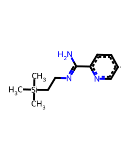 C[Si](C)(C)CCN=C(N)c1cc[c]cn1